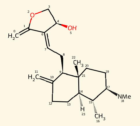 C=C1OC[C@@H](O)/C1=C\C[C@@H]1C(=C)CC[C@@H]2[C@@H](C)[C@H](NC)CC[C@@]12C